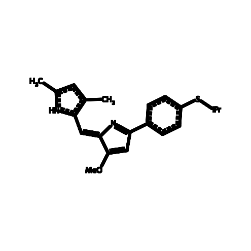 COC1=CC(c2ccc(SC(C)C)cc2)=NC1=Cc1[nH]c(C)cc1C